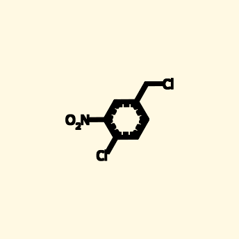 O=[N+]([O-])c1cc(CCl)ccc1Cl